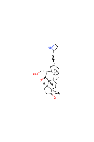 C[C@]12CC[C@H](C#CC3CCN3)CC1[C@@H](CO)C(=O)[C@@H]1[C@@H]2CC[C@]2(C)C(=O)CC[C@@H]12